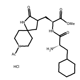 COC(=O)[C@H](CC1CC2(CCN(C(C)=O)CC2)NC1=O)NC(=O)[C@@H](N)CC1CCCCC1.Cl